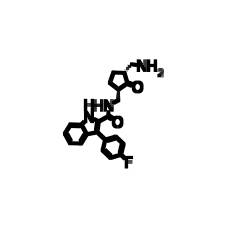 NC[C@H]1CC[C@H](CNC(=O)c2[nH]c3ccccc3c2-c2ccc(F)cc2)C1=O